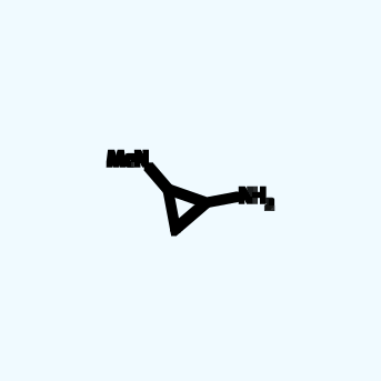 CNC1CC1N